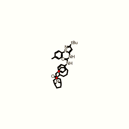 Cc1ccc(-n2nc(C(C)(C)C)cc2NC(=O)Nc2ccc(CC3CC4CCC(C3)N4C(=O)C3CCCCCC3)cc2)cc1